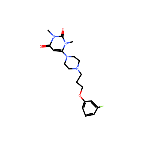 Cn1c(N2CCN(CCCOc3cccc(F)c3)CC2)cc(=O)n(C)c1=O